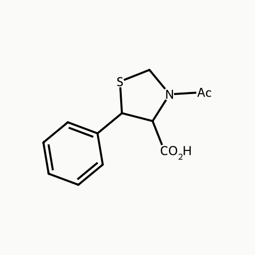 CC(=O)N1CSC(c2ccccc2)C1C(=O)O